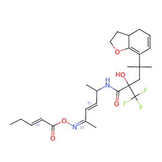 CC/C=C/C(=O)O/N=C(C)\C=C\C(C)NC(=O)C(O)(CC(C)(C)C1=C2OCCC2CC=C1)C(F)(F)F